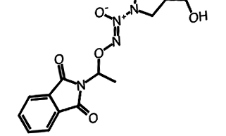 CC(ON=[N+]([O-])N1CCC(CO)C1)N1C(=O)c2ccccc2C1=O